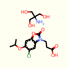 CC(C)Oc1cc2oc(=O)n(CCC(=O)O)c2cc1Cl.NC(CO)(CO)CO